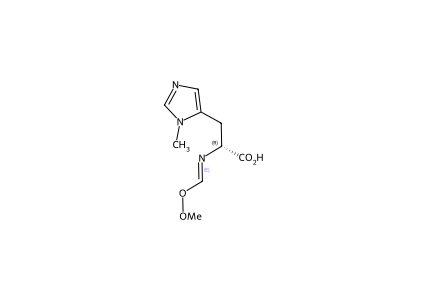 COO/C=N/[C@H](Cc1cncn1C)C(=O)O